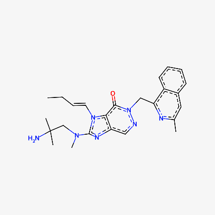 CC/C=C/n1c(N(C)CC(C)(C)N)nc2cnn(Cc3nc(C)cc4ccccc34)c(=O)c21